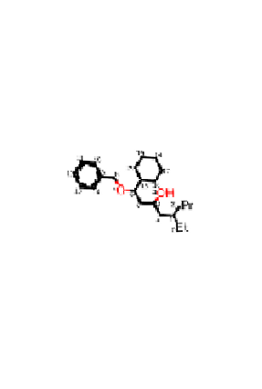 CCC(CC(O)CC(OCc1ccccc1)C1CCCCC1)C(C)C